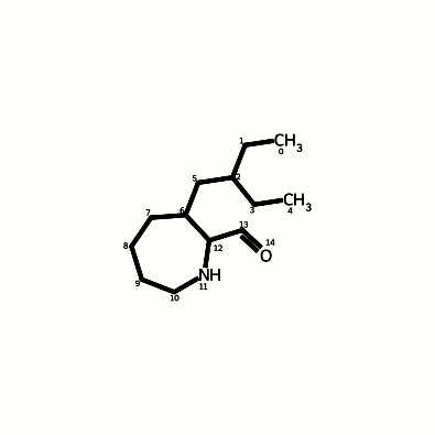 CCC(CC)CC1CCCCNC1C=O